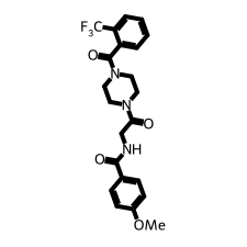 COc1ccc(C(=O)NCC(=O)N2CCN(C(=O)c3ccccc3C(F)(F)F)CC2)cc1